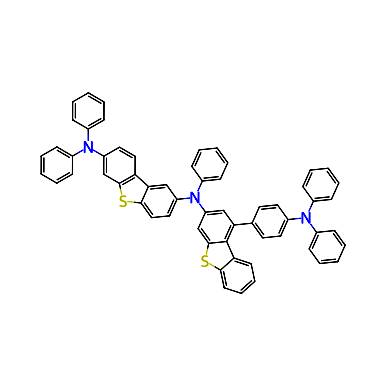 c1ccc(N(c2ccccc2)c2ccc(-c3cc(N(c4ccccc4)c4ccc5sc6cc(N(c7ccccc7)c7ccccc7)ccc6c5c4)cc4sc5ccccc5c34)cc2)cc1